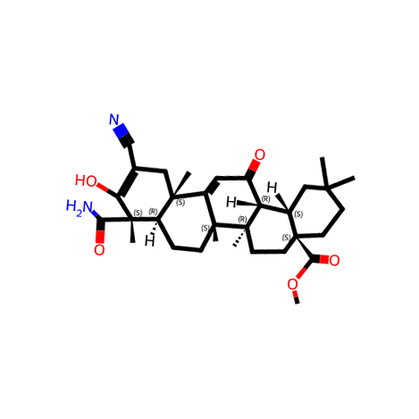 COC(=O)[C@]12CCC(C)(C)C[C@H]1[C@H]1C(=O)C=C3[C@@]4(C)CC(C#N)=C(O)[C@@](C)(C(N)=O)[C@@H]4CC[C@@]3(C)[C@]1(C)CC2